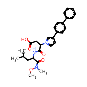 CON(C)C(=O)C(CC(C)C)NC(=O)C(CC(=O)O)n1ccc(-c2ccc(-c3ccccc3)cc2)c1